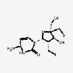 NC1C=CN([C@@H]2O[C@@](CO)(CF)[C@@H](O)[C@@H]2CF)C(=O)N1